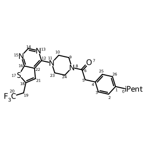 CCCC(C)c1ccc(CC(=O)N2CCN(c3ncnc4sc(CC(F)(F)F)cc34)CC2)cc1